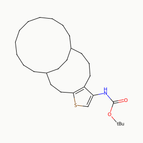 CC(C)(C)OC(=O)Nc1csc2c1CCCC1CCCCCCCCCCC(CC2)CC1